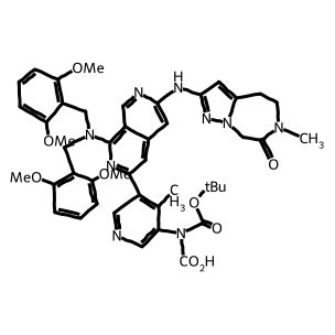 COc1cccc(OC)c1CN(Cc1c(OC)cccc1OC)c1nc(-c2cncc(N(C(=O)O)C(=O)OC(C)(C)C)c2C)cc2cc(Nc3cc4n(n3)CC(=O)N(C)CC4)ncc12